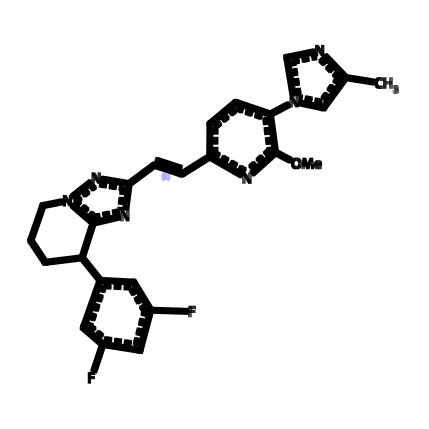 COc1nc(/C=C/c2nc3n(n2)CCCC3c2cc(F)cc(F)c2)ccc1-n1cnc(C)c1